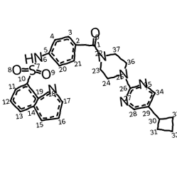 O=C(c1ccc(NS(=O)(=O)c2cccc3cccnc23)cc1)N1CCN(c2ncc(C3CCC3)cn2)CC1